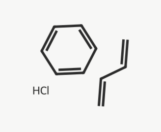 C=CC=C.Cl.c1ccccc1